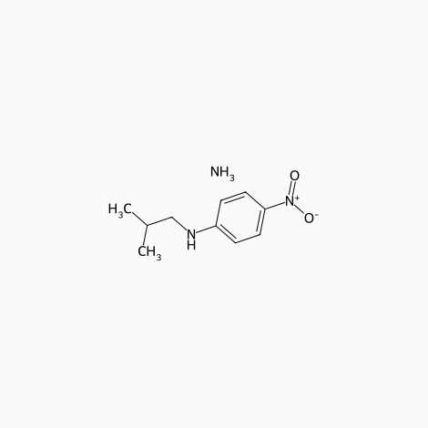 CC(C)CNc1ccc([N+](=O)[O-])cc1.N